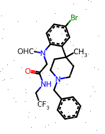 CC1(c2cc(Br)ccc2N(C=O)CC(=O)NCC(F)(F)F)CCN(Cc2ccccc2)CC1